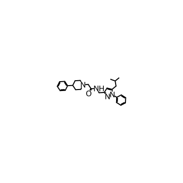 CC(C)Cc1cc(CNC(=O)CN2CCC(c3ccccc3)CC2)nn1-c1ccccc1